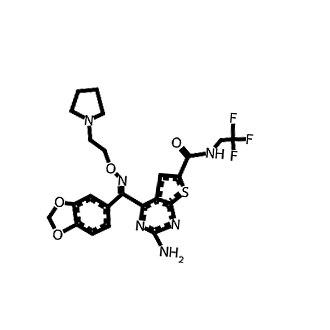 Nc1nc(C(=NOCCN2CCCC2)c2ccc3c(c2)OCO3)c2cc(C(=O)NCC(F)(F)F)sc2n1